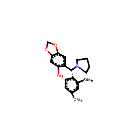 COc1ccc([C@H](c2cc3c(cc2O)OCO3)N2CCCC2)c(OC)c1